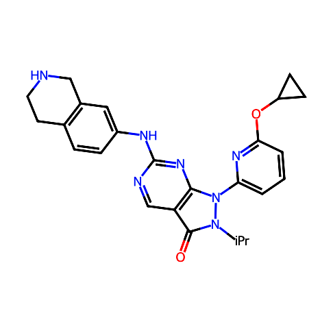 CC(C)n1c(=O)c2cnc(Nc3ccc4c(c3)CNCC4)nc2n1-c1cccc(OC2CC2)n1